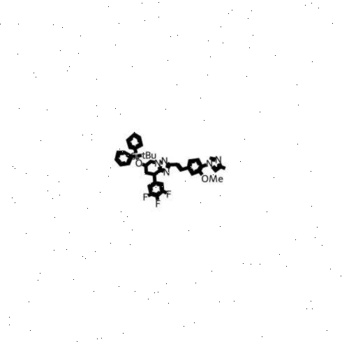 COc1cc(C=Cc2nc3n(n2)CC(O[Si](c2ccccc2)(c2ccccc2)C(C)(C)C)CC3c2cc(F)c(F)c(F)c2)ccc1-n1cnc(C)c1